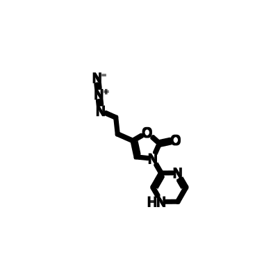 [N-]=[N+]=NCCc1cn(C2=CNCC=N2)c(=O)o1